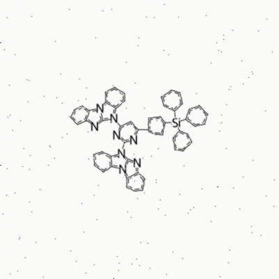 c1ccc([Si](c2ccccc2)(c2ccccc2)c2ccc(-c3cc(-n4c5ccccc5n5c6ccccc6nc45)nc(-n4c5ccccc5n5c6ccccc6nc45)n3)cc2)cc1